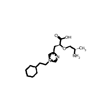 C[C@H](N)CO[C@@H](Cc1cn(CCC2CCCCC2)cn1)C(=O)O